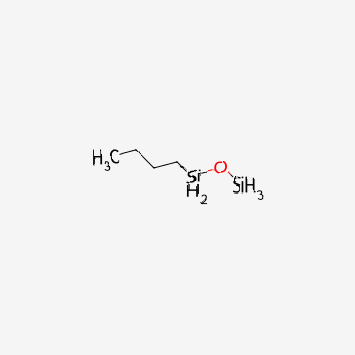 CCCC[SiH2]O[SiH3]